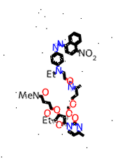 CC[C@H]1O[C@@H](n2ccc(C)nc2=O)[C@@H](OCOCC/C(C)=N/OCCN(CC)c2ccc(/N=N\c3ccc([N+](=O)[O-])c4ccccc34)cc2)C1OC(=O)CCC(=O)NC